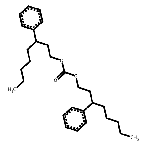 CCCCCC(CCOC(=O)OCCC(CCCCC)c1ccccc1)c1ccccc1